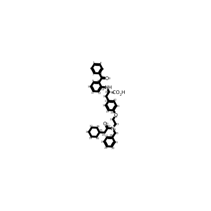 O=C(c1ccccc1)c1ccccc1N[C@@H](Cc1ccc(OCCN(Cc2ccccc2)C(=O)CC2CCCCC2)cc1)C(=O)O